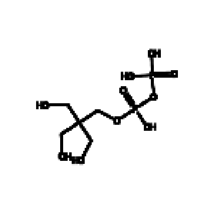 O=P(O)(O)OP(=O)(O)OCC(CO)(CO)CO